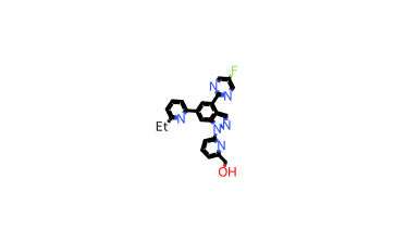 CCc1cccc(-c2cc(-c3ncc(F)cn3)c3cnn(-c4cccc(CO)n4)c3c2)n1